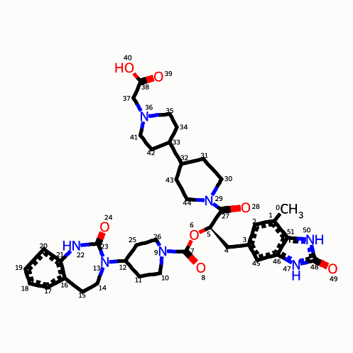 Cc1cc(C[C@@H](OC(=O)N2CCC(N3CCc4ccccc4NC3=O)CC2)C(=O)N2CCC(C3CCN(CC(=O)O)CC3)CC2)cc2[nH]c(=O)[nH]c12